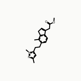 COC(=O)CC1=CCc2c1ccc(CCc1cc(C)nn1C)c2C